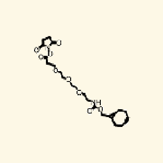 O=C(CCOCCOCCOCCNC(=O)OCC1C2CCC#CCCC21)ON1C(=O)CCC1=O